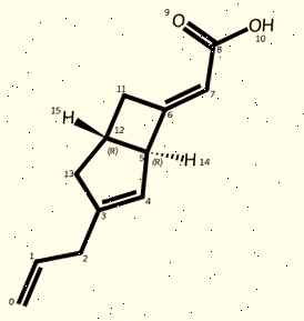 C=CCC1=C[C@@H]2C(=CC(=O)O)C[C@H]2C1